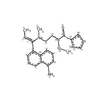 C/N=C(/c1cccc2c(N)cccc12)N(C)CCN(OC)C(=O)c1ccc[nH]1